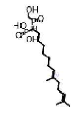 CC(C)=CCC/C(C)=C/CCCCCCC([PH](=O)CO)P(=O)(O)O